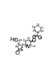 Cc1nc(-c2sc(Cl)cc2CO)ccc1OOC(=O)C1CCCCC1